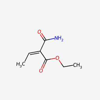 CC=C(C(N)=O)C(=O)OCC